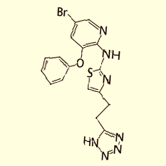 Brc1cnc(Nc2nc(CCc3nnn[nH]3)cs2)c(Oc2ccccc2)c1